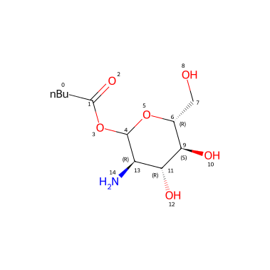 CCCCC(=O)OC1O[C@H](CO)[C@@H](O)[C@H](O)[C@H]1N